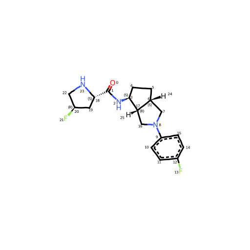 O=C(N[C@H]1CC[C@@H]2CN(c3ccc(F)cc3)C[C@@H]21)[C@@H]1C[C@@H](F)CN1